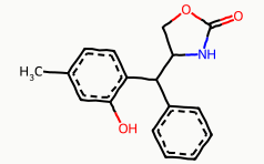 Cc1ccc(C(c2ccccc2)C2COC(=O)N2)c(O)c1